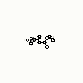 CC1(C)c2ccccc2-c2cc(N(c3ccccc3)c3cccc(-c4cc(-c5ccccc5)cc(-c5ccc6ccc7oc8ccccc8c7c6c5)c4)c3)ccc21